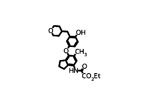 CCOC(=O)C(=O)Nc1cc(C)c(Oc2ccc(O)c(CC3CCOCC3)c2)c2c1CCC2